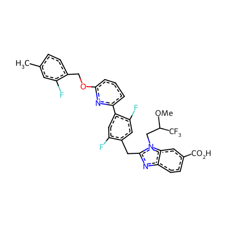 COC(Cn1c(Cc2cc(F)c(-c3cccc(OCc4ccc(C)cc4F)n3)cc2F)nc2ccc(C(=O)O)cc21)C(F)(F)F